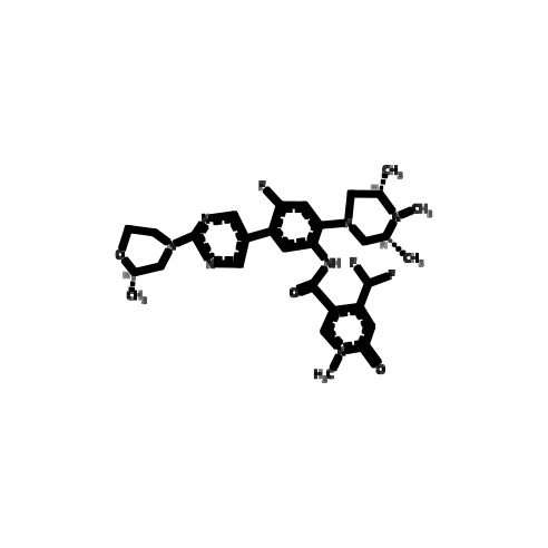 C[C@@H]1CN(c2cc(F)c(-c3cnc(N4CCO[C@@H](C)C4)nc3)cc2NC(=O)c2cn(C)c(=O)cc2C(F)F)C[C@H](C)N1C